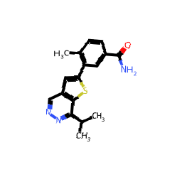 Cc1ccc(C(N)=O)cc1-c1cc2cnnc(C(C)C)c2s1